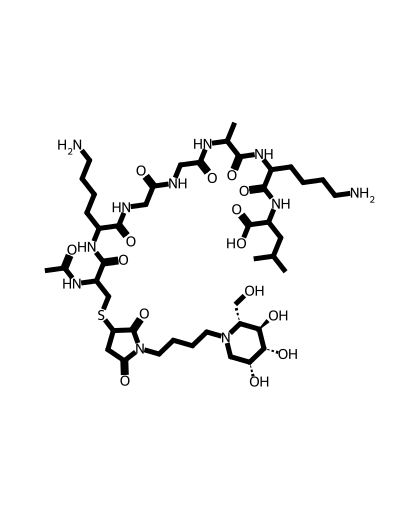 CC(=O)NC(CSC1CC(=O)N(CCCCN2C[C@@H](O)[C@@H](O)[C@H](O)[C@H]2CO)C1=O)C(=O)NC(CCCCN)C(=O)NCC(=O)NCC(=O)NC(C)C(=O)NC(CCCCN)C(=O)NC(CC(C)C)C(=O)O